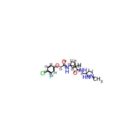 CN1CCC(CNC(=O)[C@@H]2CC3(NC(=O)COc4ccc(Cl)c(F)c4)CC2C3)N1